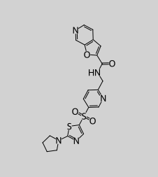 O=C(NCc1ccc(S(=O)(=O)c2cnc(N3CCCC3)s2)cn1)c1cc2ccncc2o1